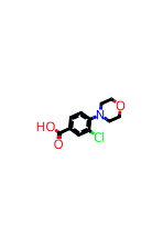 O=C(O)c1ccc(N2CCOCC2)c(Cl)c1